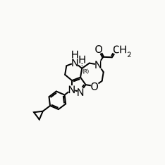 C=CC(=O)N1CCOc2nn(-c3ccc(C4CC4)cc3)c3c2[C@H](C1)NCC3